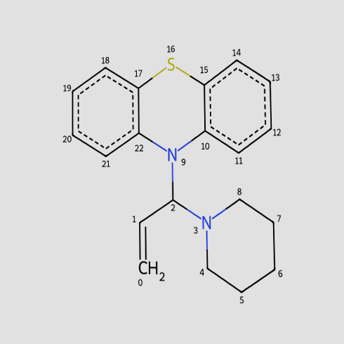 C=CC(N1CCCCC1)N1c2ccccc2Sc2ccccc21